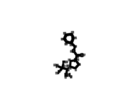 NC([C@H]1CCN(C(=O)OCc2ccccc2)C1)C(F)(F)F